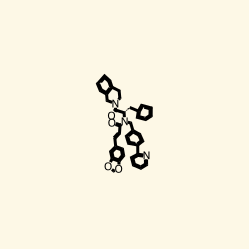 O=C([C@H](Cc1ccccc1)N(Cc1ccc(-c2ccccn2)cc1)C(=O)C=Cc1ccc2c(c1)OCO2)N1CCc2ccccc2C1